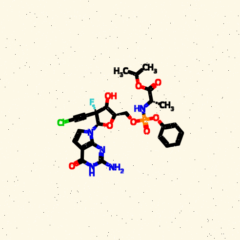 CC(C)OC(=O)[C@H](C)NP(=O)(OC[C@H]1O[C@@H](n2ccc3c(=O)[nH]c(N)nc32)[C@@](F)(C#CCl)C1O)Oc1ccccc1